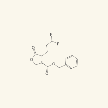 O=C1OCN(C(=O)OCc2ccccc2)C1CCC(F)F